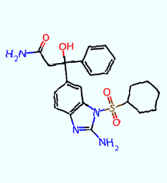 NC(=O)CC(O)(c1ccccc1)c1ccc2nc(N)n(S(=O)(=O)C3CCCCC3)c2c1